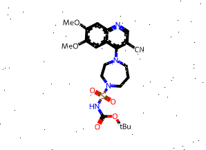 COc1cc2ncc(C#N)c(N3CCCN(S(=O)(=O)NC(=O)OC(C)(C)C)CC3)c2cc1OC